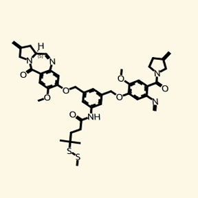 C=Nc1cc(OCc2cc(COc3cc4c(cc3OC)C(=O)N3CC(=C)C[C@H]3C=N4)cc(NC(=O)CCC(C)(C)SSC)c2)c(OC)cc1C(=O)N1CCC(=C)C1